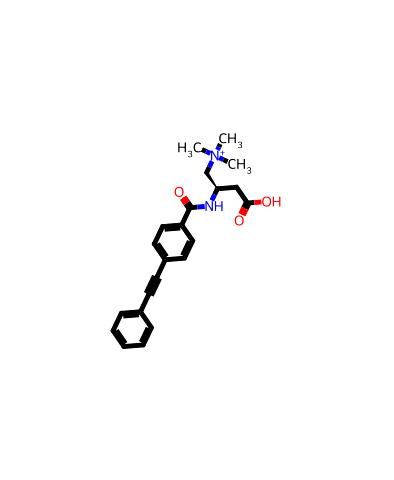 C[N+](C)(C)C[C@@H](CC(=O)O)NC(=O)c1ccc(C#Cc2ccccc2)cc1